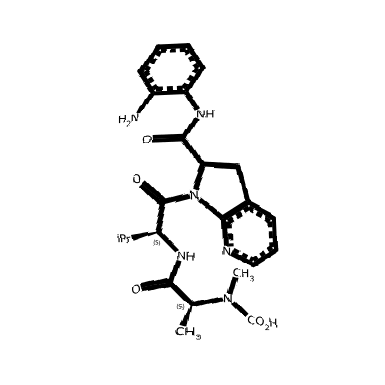 CC(C)[C@H](NC(=O)[C@H](C)N(C)C(=O)O)C(=O)N1c2ncccc2CC1C(=O)Nc1ccccc1N